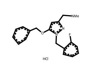 CNCc1cc(OCc2ccccc2)n(Cc2ccccc2F)n1.Cl